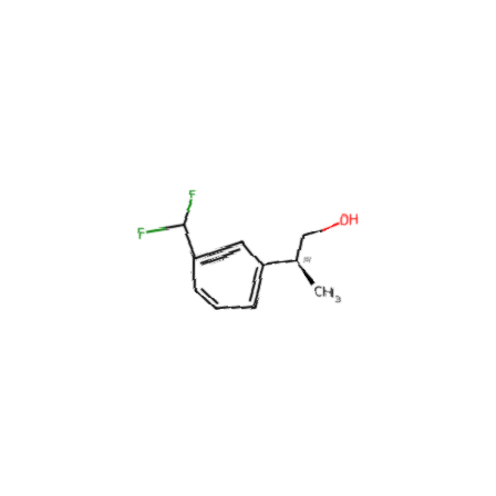 C[C@H](CO)c1cccc(C(F)F)c1